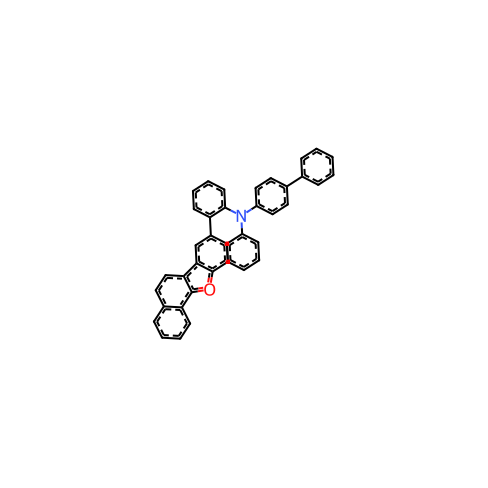 c1ccc(-c2ccc(N(c3ccccc3)c3ccccc3-c3ccc4oc5c6ccccc6ccc5c4c3)cc2)cc1